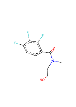 CN(CCO)C(=O)c1ccc(F)c(F)c1F